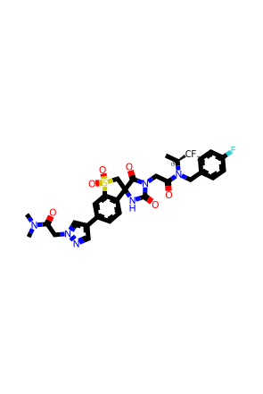 C[C@H](N(Cc1ccc(F)cc1)C(=O)CN1C(=O)NC2(CS(=O)(=O)c3cc(-c4cnn(CC(=O)N(C)C)c4)ccc32)C1=O)C(F)(F)F